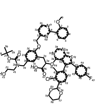 COc1ccccc1-c1nccc(COc2ccc(CN(CCO)C(=O)OC(C)(C)C)cc2CC(Oc2ncnc3sc(-c4ccc(F)cc4)c(-c4ccc(C5OCCCO5)c(Cl)c4C)c23)C(=O)O)n1